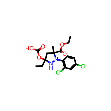 CCOC(=O)C1(C)CC(CC)(OC(=O)O)NN1c1ccc(Cl)cc1Cl